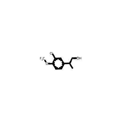 C[C](CO)c1ccc(OC(F)(F)F)c(Cl)c1